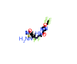 C=C(/C(F)=C(F)\C=C(/C)NC(=O)c1cnc(OCC(F)(F)C(F)F)cn1)[C@@]1(C)N=C(N)S[C@]2(C(=O)N(C)C)[C@H]1[C@@H]2C